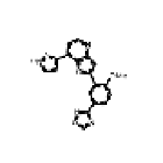 COc1ccc(-c2ncon2)cc1-c1cc2nccc(-c3cc[nH]n3)c2o1